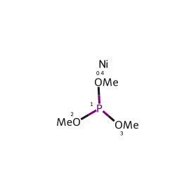 COP(OC)OC.[Ni]